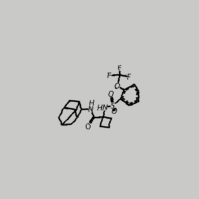 O=C(NC1C2CC3CC(C2)CC1C3)C1(NS(=O)(=O)c2ccccc2OC(F)(F)F)CCC1